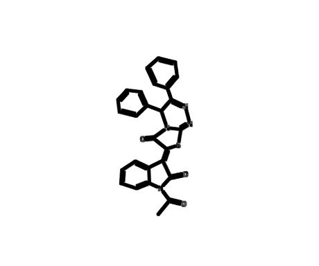 CC(=O)N1C(=O)/C(=c2\sc3n(c2=O)C(c2ccccc2)C(c2ccccc2)=NN=3)c2ccccc21